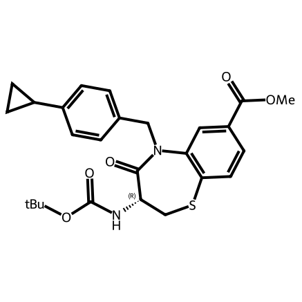 COC(=O)c1ccc2c(c1)N(Cc1ccc(C3CC3)cc1)C(=O)[C@@H](NC(=O)OC(C)(C)C)CS2